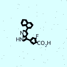 O=C(O)c1ccc(-c2c[nH]c3ncc(-c4cccc5ccccc45)cc23)cc1F